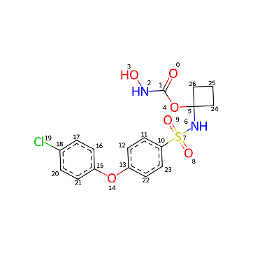 O=C(NO)OC1(NS(=O)(=O)c2ccc(Oc3ccc(Cl)cc3)cc2)CCC1